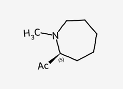 CC(=O)[C@@H]1CCCCCN1C